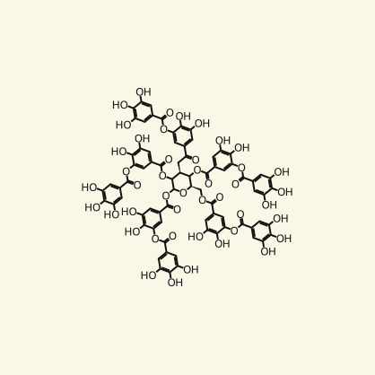 O=C(C[C@@H]1C(OC(=O)c2cc(O)c(O)c(OC(=O)c3cc(O)c(O)c(O)c3)c2)C(OC(=O)c2cc(O)c(O)c(OC(=O)c3cc(O)c(O)c(O)c3)c2)O[C@H](COC(=O)c2cc(O)c(O)c(OC(=O)c3cc(O)c(O)c(O)c3)c2)C1OC(=O)c1cc(O)c(O)c(OC(=O)c2cc(O)c(O)c(O)c2)c1)c1cc(O)c(O)c(OC(=O)c2cc(O)c(O)c(O)c2)c1